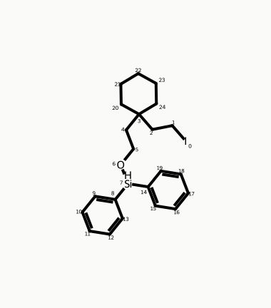 ICCC1(CCO[SiH](c2ccccc2)c2ccccc2)CCCCC1